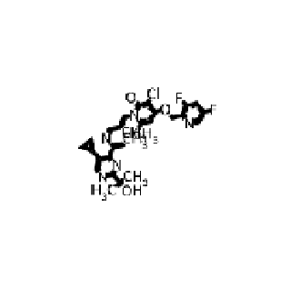 C\C=C(/N=C\C(C)=C\n1c(C)cc(OCc2ncc(F)cc2F)c(Cl)c1=O)c1nc(C(C)(C)O)ncc1C1CC1